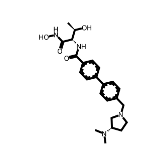 C[C@@H](O)[C@H](NC(=O)c1ccc(-c2ccc(CN3CC[C@H](N(C)C)C3)cc2)cc1)C(=O)NO